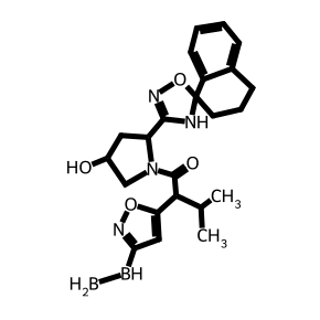 BBc1cc(C(C(=O)N2CC(O)CC2C2=NOC3(CCCc4ccccc43)N2)C(C)C)on1